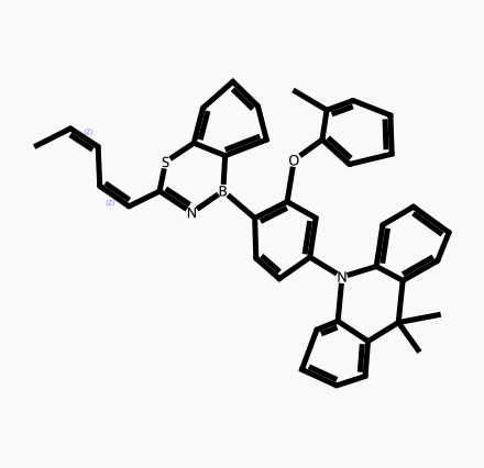 C/C=C\C=C/C1=NB(c2ccc(N3c4ccccc4C(C)(C)c4ccccc43)cc2Oc2ccccc2C)c2ccccc2S1